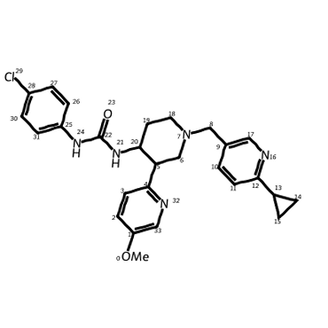 COc1ccc(C2CN(Cc3ccc(C4CC4)nc3)CCC2NC(=O)Nc2ccc(Cl)cc2)nc1